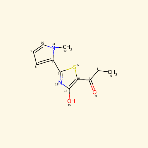 CCC(=O)c1sc(-c2cccn2C)nc1O